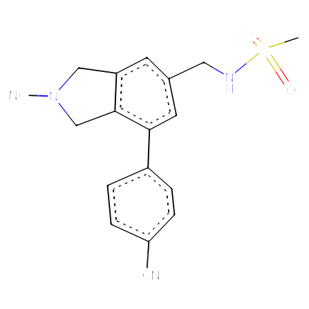 CS(=O)(=O)NCc1cc2c(c(-c3ccc(C#N)cc3)c1)CN(C#N)C2